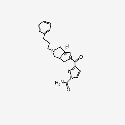 NC(=O)n1ccc(C(=O)N2CC3CN(CC[CH]c4ccccc4)C[C@H]3C2)n1